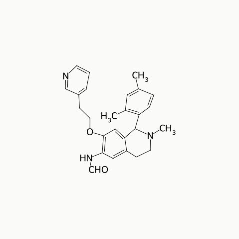 Cc1ccc(C2c3cc(OCCc4cccnc4)c(NC=O)cc3CCN2C)c(C)c1